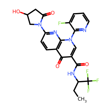 CCC(NC(=O)c1cn(-c2ncccc2F)c2nc(N3CC(O)CC3=O)ccc2c1=O)C(F)(F)F